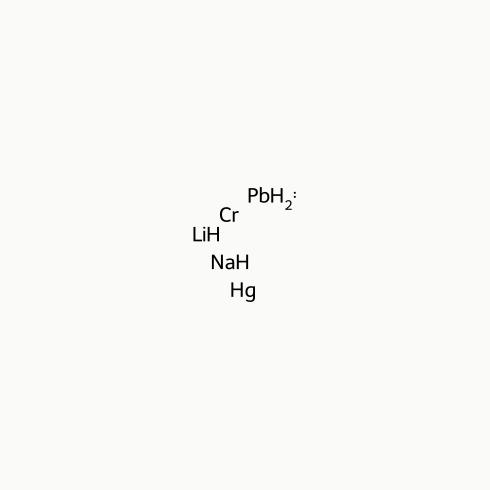 [Cr].[Hg].[LiH].[NaH].[PbH2]